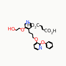 O=C(O)C=CC(=O)O.OCCOc1cnccc1CCCOc1cccnc1Oc1ccccc1